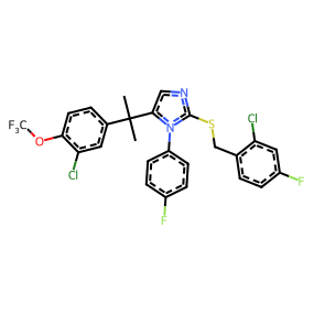 CC(C)(c1ccc(OC(F)(F)F)c(Cl)c1)c1cnc(SCc2ccc(F)cc2Cl)n1-c1ccc(F)cc1